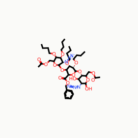 CCCCOC1C(COC(C)=O)OC(OC2C(C(=O)OCc3ccccc3)OC(O[C@@H]3C(COC(C)=O)OC(O)[C@@H](N=[N+]=[N-])C3O)[C@@H](OCCCC)[C@H]2OCCCC)[C@@H](N=[N+]=[N-])[C@@H]1OCCCC